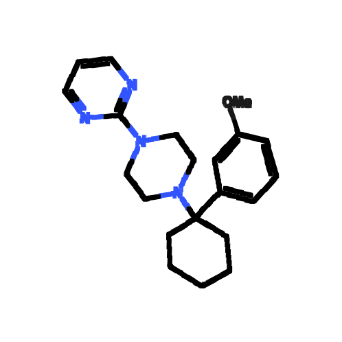 COc1cccc(C2(N3CCN(c4ncccn4)CC3)CCCCC2)c1